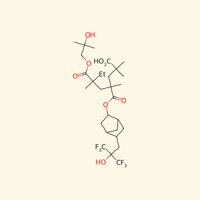 CCC(C)(CC(C)(CC(C)(C)C(=O)O)C(=O)OC1CC2CC1CC2CC(O)(C(F)(F)F)C(F)(F)F)C(=O)OCC(C)(C)O